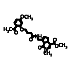 COC(=O)C1=CN(C)C(=O)C2C(CNC(=O)CCCOc3cc(OC)ccc3C(C)=O)=CCC12